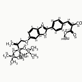 C=C(COc1ccc2nc(-c3ccc(C=C(C(=O)O)C(=O)OC(C)CC)cc3)oc2c1)[Si](C)(O[Si](C)(C)C)O[Si](C)(C)C